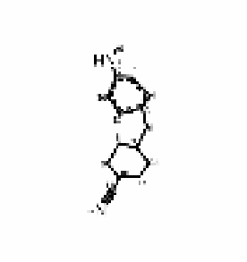 CNc1ccc(CC2CCC(C#N)CC2)cc1